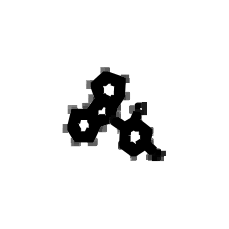 Clc1cc(Br)ccc1-n1c2ccccc2c2ccccc21